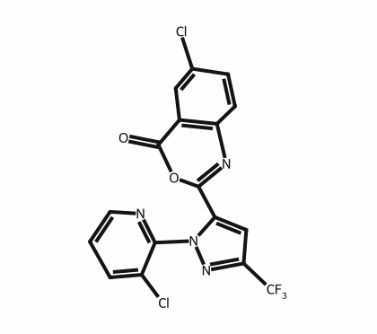 O=c1oc(-c2cc(C(F)(F)F)nn2-c2ncccc2Cl)nc2ccc(Cl)cc12